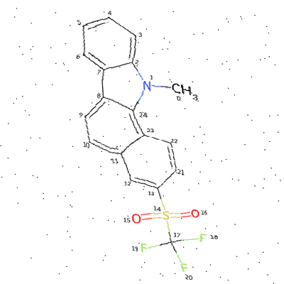 Cn1c2ccccc2c2ccc3cc(S(=O)(=O)C(F)(F)F)ccc3c21